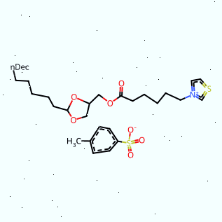 CCCCCCCCCCCCCCCC1OCC(COC(=O)CCCCC[n+]2ccsc2)O1.Cc1ccc(S(=O)(=O)[O-])cc1